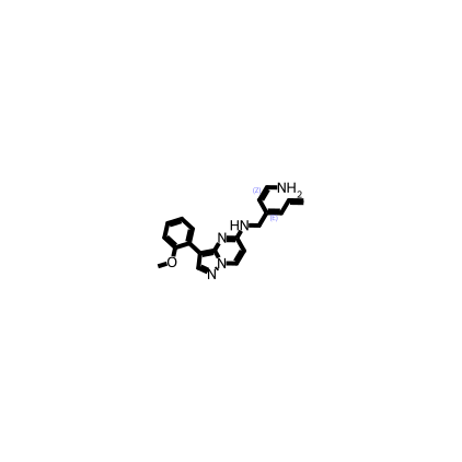 C=C/C=C(\C=C/N)CNc1ccn2ncc(-c3ccccc3OC)c2n1